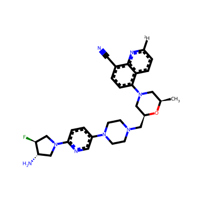 [2H]c1ccc2c(N3C[C@H](CN4CCN(c5ccc(N6C[C@H](N)[C@@H](F)C6)nc5)CC4)O[C@H](C)C3)ccc(C#N)c2n1